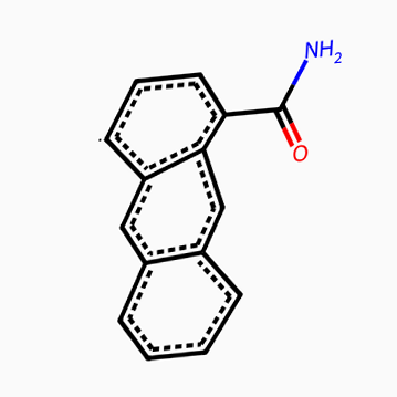 NC(=O)c1cc[c]c2cc3ccccc3cc12